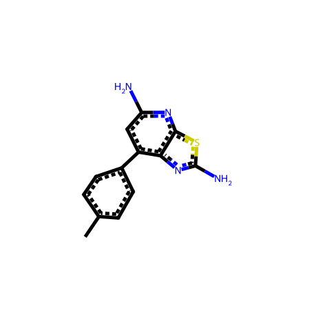 Cc1ccc(-c2cc(N)nc3sc(N)nc23)cc1